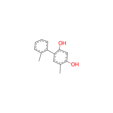 Cc1cc(-c2ccccc2C)c(O)cc1O